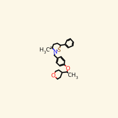 CC(Oc1ccc(CN2SC(c3ccccc3)CC[C@@H]2C)cc1)C1CCOCC1